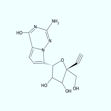 C#C[C@]1(CO)O[C@@H](c2ccc3c(O)nc(N)nn23)C(O)C1O